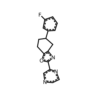 Fc1cccc(C2CCc3oc(-c4cnccn4)nc3C2)c1